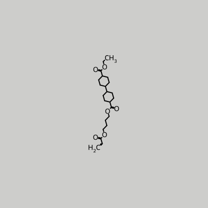 C=CC(=O)OCCCCOC(=O)C1CCC(C2CCC(C(=O)OCC)CC2)CC1